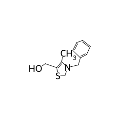 CC1=C(CO)SCN1Cc1ccccc1